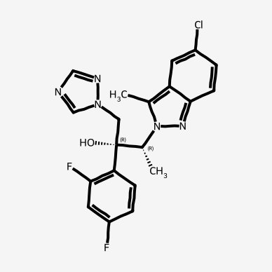 Cc1c2cc(Cl)ccc2nn1[C@H](C)[C@](O)(Cn1cncn1)c1ccc(F)cc1F